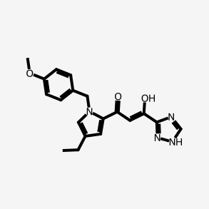 CCc1cc(C(=O)C=C(O)c2nc[nH]n2)n(Cc2ccc(OC)cc2)c1